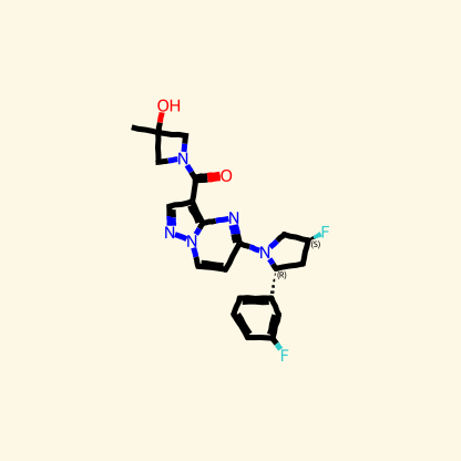 CC1(O)CN(C(=O)c2cnn3ccc(N4C[C@@H](F)C[C@@H]4c4cccc(F)c4)nc23)C1